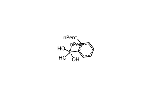 CCCCCc1ccccc1P(O)(O)(O)CCCCC